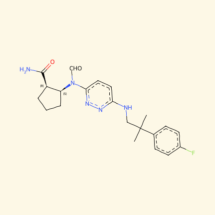 CC(C)(CNc1ccc(N(C=O)[C@H]2CCC[C@H]2C(N)=O)nn1)c1ccc(F)cc1